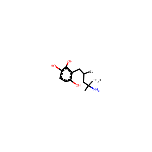 CCC(Cc1c(O)ccc(O)c1O)CC(C)(N)C(=O)O